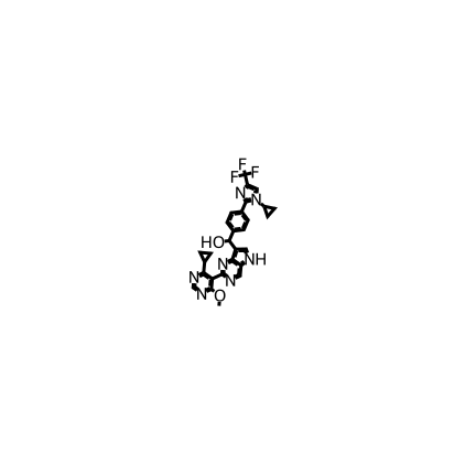 COc1ncnc(C2CC2)c1-c1ncc2[nH]cc(C(O)c3ccc(-c4nc(C(F)(F)F)cn4C4CC4)cc3)c2n1